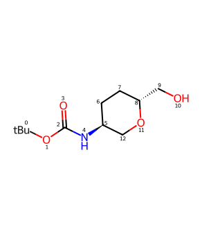 CC(C)(C)OC(=O)N[C@H]1CC[C@H](CO)OC1